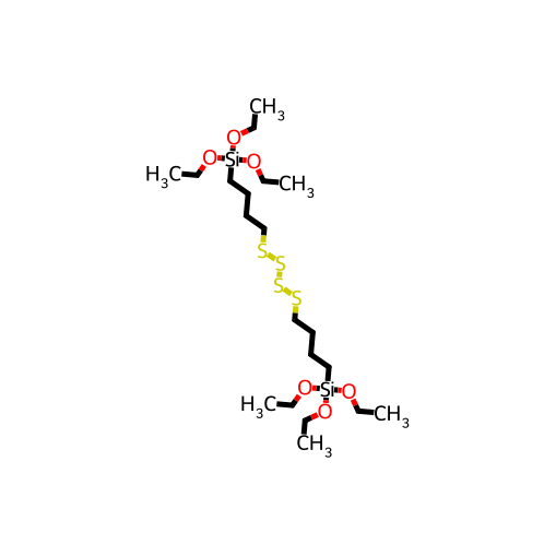 CCO[Si](CCCCSSSSCCCC[Si](OCC)(OCC)OCC)(OCC)OCC